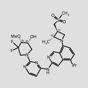 CO[C@@H]1[C@H](O)CN(c2nccc(Nc3cc4c(C(C)C)ccc(N5C[C@H](CS(C)(=O)=O)[C@H]5C)c4cn3)n2)CC1(F)F